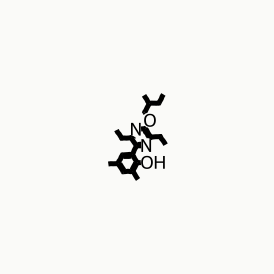 CCc1nc(-c2cc(C)cc(C)c2O)c(CC)nc1OCC(C)CC